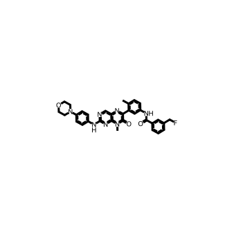 Cc1ccc(NC(=O)c2cccc(CF)c2)cc1-c1nc2cnc(Nc3ccc(N4CCOCC4)cc3)nc2n(C)c1=O